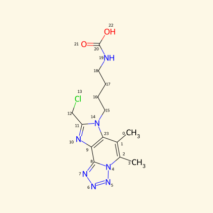 Cc1c(C)n2nnnc2c2nc(CCl)n(CCCCNC(=O)O)c12